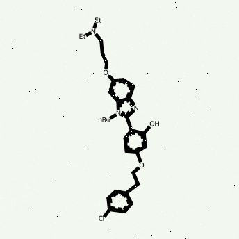 CCCCn1c(-c2ccc(OCCc3ccc(Cl)cc3)cc2O)nc2ccc(OCCCN(CC)CC)cc21